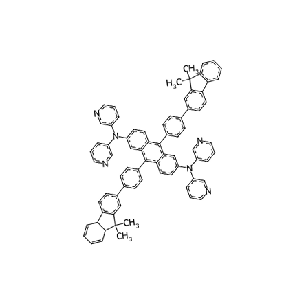 CC1(C)c2ccccc2-c2ccc(-c3ccc(-c4c5ccc(N(c6cccnc6)c6cccnc6)cc5c(-c5ccc(-c6ccc7c(c6)C(C)(C)C6C=CC=CC76)cc5)c5ccc(N(c6cccnc6)c6cccnc6)cc45)cc3)cc21